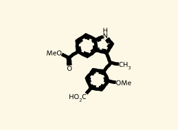 COC(=O)c1ccc2[nH]cc(C(C)c3ccc(C(=O)O)cc3OC)c2c1